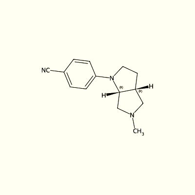 CN1C[C@H]2CCN(c3ccc(C#N)cc3)[C@H]2C1